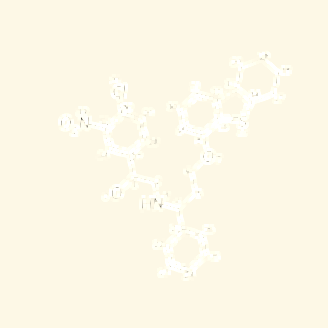 O=C(CNC(CCOc1cccc2c3c(sc12)CCCC3)c1ccccc1)c1ccc(Cl)c([N+](=O)[O-])c1